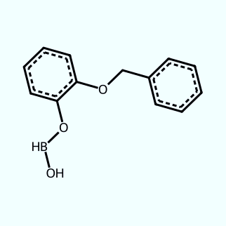 OBOc1ccccc1OCc1ccccc1